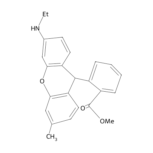 CCNc1ccc2c(c1)Oc1cc(C)ccc1C2c1ccccc1C(=O)OC